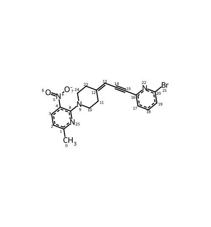 Cc1ccc([N+](=O)[O-])c(N2CCC(=CC#Cc3cccc(Br)n3)CC2)n1